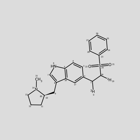 [2H]C(c1ccc2[nH]cc(C[C@H]3CCCN3C)c2c1)C([2H])S(=O)(=O)c1ccccc1